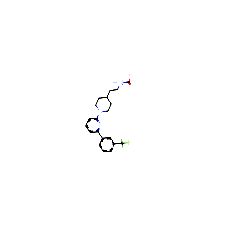 O=C(O)NCCC1CCN(c2cccc(-c3cccc(C(F)(F)F)c3)n2)CC1